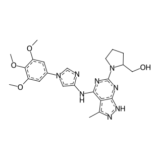 COc1cc(-n2cnc(Nc3nc(N4CCCC4CO)nc4[nH]nc(C)c34)c2)cc(OC)c1OC